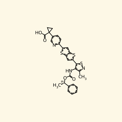 Cc1nsc(-c2cc3sc(-c4ccc(C5(C(=O)O)CC5)cn4)cc3s2)c1NC(=O)O[C@H](C)c1ccccc1